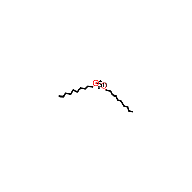 CCCCCCCCCC[O][Sn]([CH3])([CH3])[O]CCCCCCCCCC